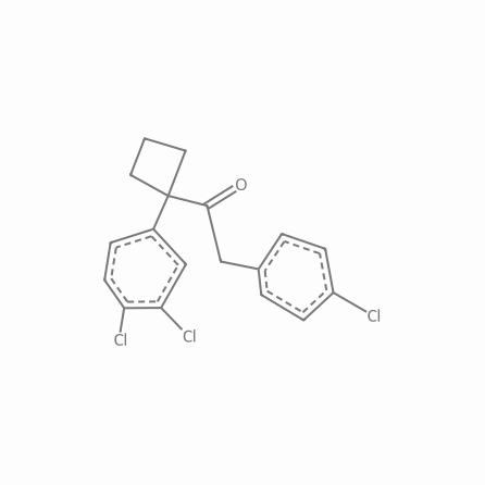 O=C(Cc1ccc(Cl)cc1)C1(c2ccc(Cl)c(Cl)c2)CCC1